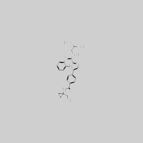 CC(C)CNc1nc2ccccc2n2c(-c3ccc(C(=O)NC4(CO)CC4)cc3)cnc12